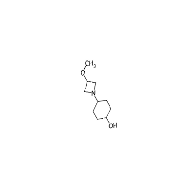 COC1CN(C2CCC(O)CC2)C1